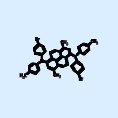 Cc1ccc(N(c2ccc(Br)cc2)c2cc(C)c3ccc4c(N(c5ccc(C)cc5)c5ccc(Br)cc5)cc(C)c5ccc2c3c54)cc1